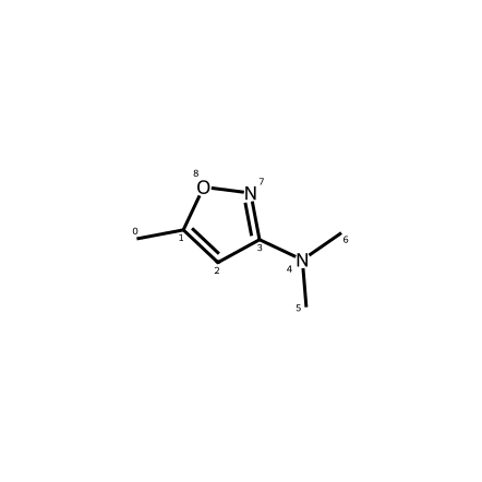 Cc1cc(N(C)C)no1